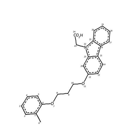 Cc1ccccc1OCCCOc1ccc2c3ccccc3n(CC(=O)O)c2c1